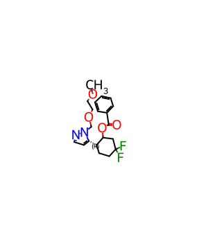 COCCOCn1nccc1[C@H]1CCC(F)(F)CC1OC(=O)c1ccccc1